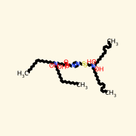 CC/C=C\C/C=C\C/C=C\CCCCCC[C@H](O)CN(CCCSSCCN1CCN(CCOC(=O)CCCCN(C[C@H](O)CCCCCC/C=C\CCCCCCCC)C[C@H](O)CCCCCC/C=C\CCCCCCCC)CC1)C[C@@H](O)CCCCCC/C=C\C/C=C\C/C=C\CC